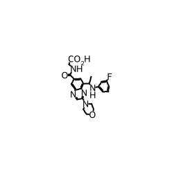 CC(Nc1cccc(F)c1)c1cc(C(=O)NCC(=O)O)cc2ncc(N3CCOCC3)nc12